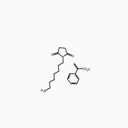 C=C(C(=O)O)c1ccccc1.NCCCCCCCN1C(=O)CCC1=O